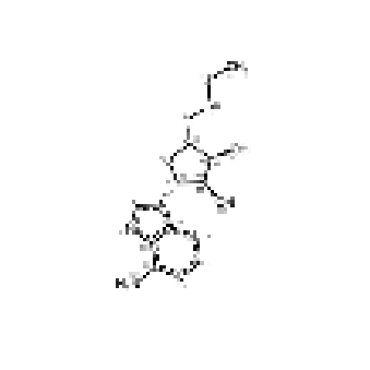 CS[Se]C[C@H]1O[C@@H](n2cnc3c(N)ncnc32)[C@H](O)[C@@H]1O